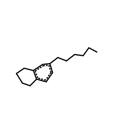 CCCCCCc1ccc2c(c1)CCCC2